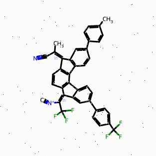 [C-]#[N+]/C(=C1/c2cc(-c3ccc(C(F)(F)F)cc3)ccc2-c2c1ccc1c2-c2ccc(-c3ccc(C)cc3)cc2/C1=C(\C)C#N)C(F)(F)F